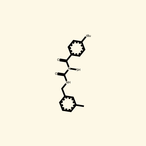 Cc1cccc(CNC(=O)N(S)C(=O)c2ccc(C(C)(C)C)cc2)c1